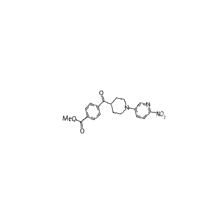 COC(=O)c1ccc(C(=O)C2CCN(c3ccc([N+](=O)[O-])nc3)CC2)cc1